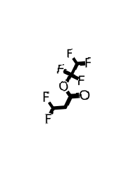 O=C(CC(F)F)OC(F)(F)C(F)F